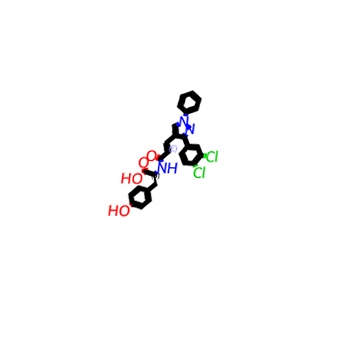 O=C(/C=C/c1cn(-c2ccccc2)nc1-c1ccc(Cl)c(Cl)c1)N[C@@H](Cc1ccc(O)cc1)C(=O)O